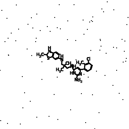 Cc1c(Cl)cccc1C1=CC(NCC(C)(C)CNc2ccc3c(c2)SC(C)N3)NC(N)=N1